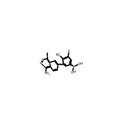 Cc1nnc(N)c2ccc(-c3cc(B(O)O)cc(F)c3C#N)cc12